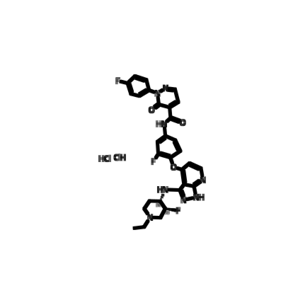 CCN1CC[C@H](Nc2n[nH]c3nccc(Oc4ccc(NC(=O)c5ccnn(-c6ccc(F)cc6)c5=O)cc4F)c23)[C@@H](F)C1.Cl.Cl